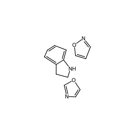 c1ccc2c(c1)CCN2.c1cnoc1.c1cocn1